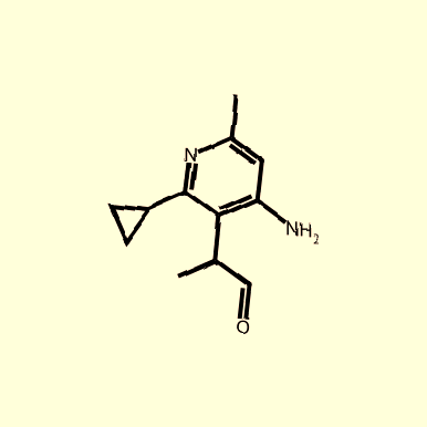 Cc1cc(N)c(C(C)C=O)c(C2CC2)n1